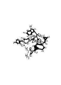 Cc1cc(F)ccc1N1CCN(C(=O)N[C@@H](C(=O)Nc2cc(CN(C)C)ccc2OCC2CC2)[C@H](C)c2c[nH]c3ccccc23)CC1